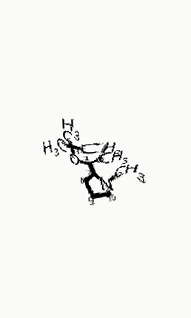 C[C@H](OC(C)(C)C)C1CCCN1C